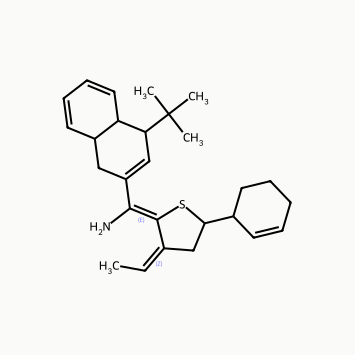 C/C=C1/CC(C2C=CCCC2)S/C1=C(/N)C1=CC(C(C)(C)C)C2C=CC=CC2C1